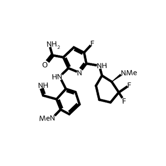 CNc1cccc(Nc2nc(NC3CCCC(F)(F)[C@@H]3NC)c(F)cc2C(N)=O)c1C=N